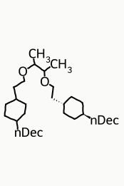 CCCCCCCCCCC1CCC(CCOC(C)C(C)OCC[C@H]2CC[C@H](CCCCCCCCCC)CC2)CC1